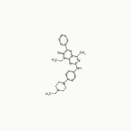 CCN1CCN(c2ccc(Nc3nc(C)c4cc(-c5ccccc5)c(=O)n(CC)c4n3)cc2)CC1